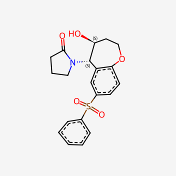 O=C1CCCN1[C@H]1c2cc(S(=O)(=O)c3ccccc3)ccc2OCC[C@@H]1O